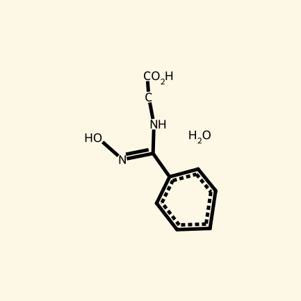 O.O=C(O)CNC(=NO)c1ccccc1